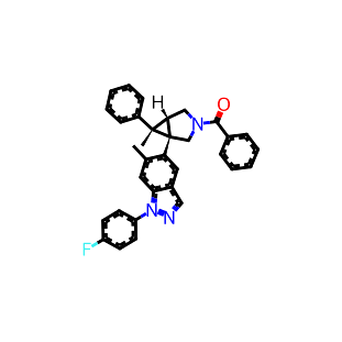 Cc1cc2c(cnn2-c2ccc(F)cc2)cc1[C@]12CN(C(=O)c3ccccc3)C[C@H]1[C@@]2(C)c1ccccc1